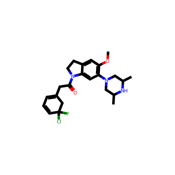 COc1cc2c(cc1N1CC(C)NC(C)C1)N(C(=O)CC1=CC=CC(F)(Cl)C1)CC2